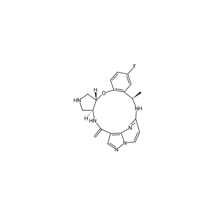 C=C1N[C@H]2CNC[C@@H]2Oc2ccc(F)cc2[C@@H](C)Nc2ccn3ncc1c3n2